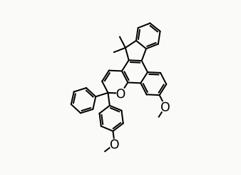 COc1ccc(C2(c3ccccc3)C=Cc3c4c(c5ccc(OC)cc5c3O2)-c2ccccc2C4(C)C)cc1